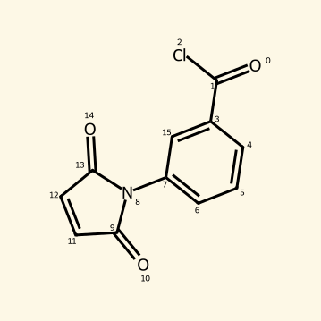 O=C(Cl)c1cccc(N2C(=O)C=CC2=O)c1